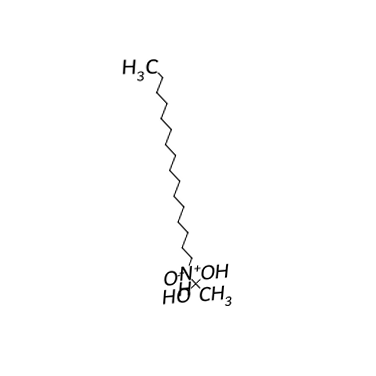 CCCCCCCCCCCCCCCC[NH+]([O-])C(C)(O)O